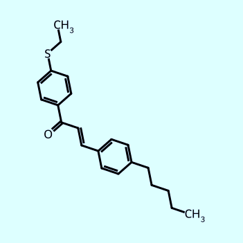 CCCCCc1ccc(C=CC(=O)c2ccc(SCC)cc2)cc1